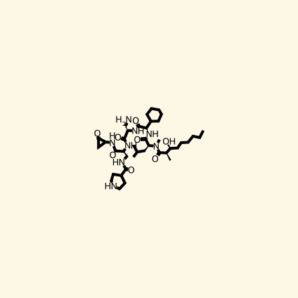 CCCCCC[C@H](O)[C@@H](C)C(=O)N(C)[C@@H](CC(C)C)C(=O)N[C@H](C(=O)N[C@@H](CN)C(=O)N[C@@H](CNC(=O)C1CCNCC1)C(=O)NC1CC1=O)C1CCCCC1